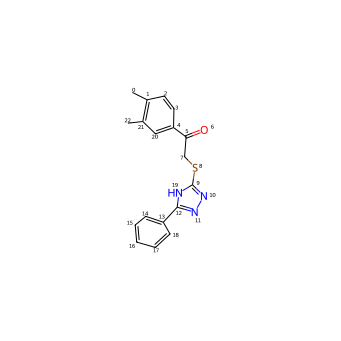 Cc1ccc(C(=O)CSc2nnc(-c3ccccc3)[nH]2)cc1C